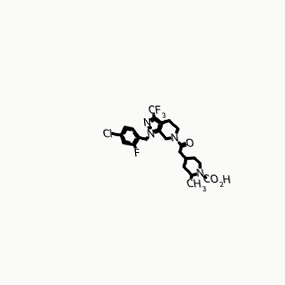 CC1CC(CC(=O)N2CCc3c(C(F)(F)F)nn(Cc4ccc(Cl)cc4F)c3C2)CCN1C(=O)O